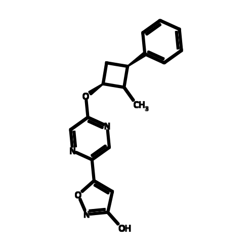 CC1[C@@H](Oc2cnc(-c3cc(O)no3)cn2)C[C@H]1c1ccccc1